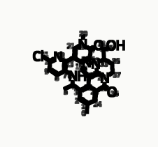 Cc1cc(C(C)Nc2ccc(Cl)nc2-c2ccc(=O)n(C)c2)c2c(c1)c(=O)n1c3c2cnn3C(CO)CC1